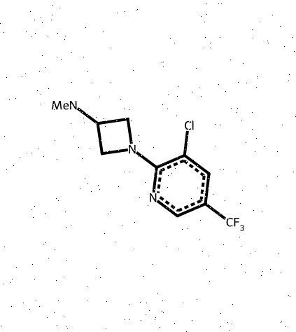 CNC1CN(c2ncc(C(F)(F)F)cc2Cl)C1